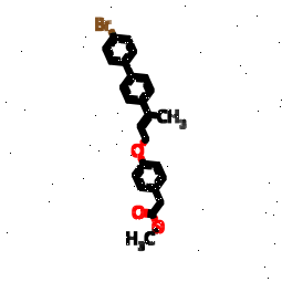 COC(=O)Cc1ccc(OC/C=C(\C)c2ccc(-c3ccc(Br)cc3)cc2)cc1